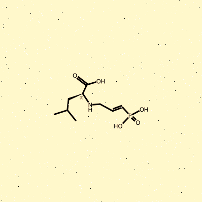 CC(C)C[C@H](NCC=CP(=O)(O)O)C(=O)O